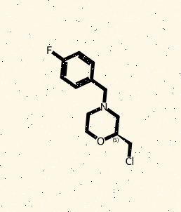 Fc1ccc(CN2CCO[C@H](CCl)C2)cc1